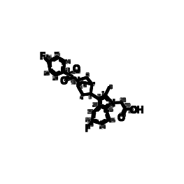 Cc1c(C2CC3CC2CN3S(=O)(=O)c2ccc(F)cc2)c2cc(F)ccc2n1CC(=O)O